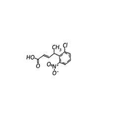 CC(C=CC(=O)O)c1c(Cl)cccc1[N+](=O)[O-]